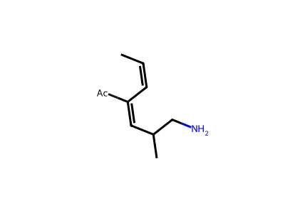 C/C=C\C(=C/C(C)CN)C(C)=O